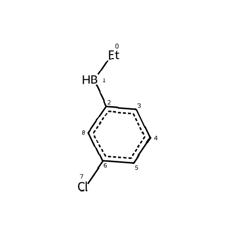 CCBc1cccc(Cl)c1